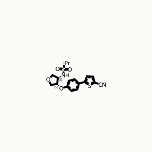 CC(C)S(=O)(=O)N[C@H]1COC[C@H]1Oc1ccc(-c2ccc(C#N)s2)cc1